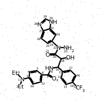 CCN(CC)c1ccc(C(=O)NC(c2ccc(C(F)(F)F)cc2)C(O)C(=O)N(N)c2ccc3nc[nH]c3c2)cc1